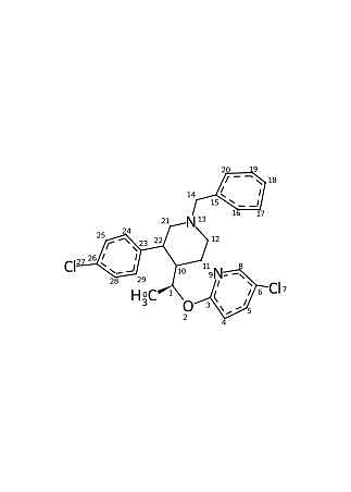 C[C@H](Oc1ccc(Cl)cn1)C1CCN(Cc2ccccc2)CC1c1ccc(Cl)cc1